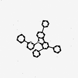 c1ccc(-c2ccc3c(c2)c2cc(-c4ccccc4)cc(-c4ccccc4)c2n3-c2cccc(-c3ccccc3)n2)cc1